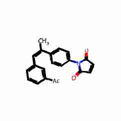 CC(=O)c1cccc(C=C(C)c2ccc(N3C(=O)C=CC3=O)cc2)c1